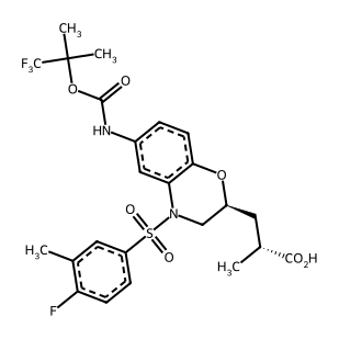 Cc1cc(S(=O)(=O)N2C[C@H](C[C@@H](C)C(=O)O)Oc3ccc(NC(=O)OC(C)(C)C(F)(F)F)cc32)ccc1F